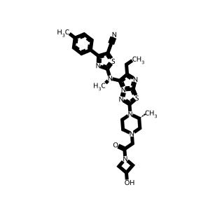 CCc1nc2sc(N3CCN(CC(=O)N4CC(O)C4)C[C@H]3C)nn2c1N(C)c1nc(-c2ccc(C)cc2)c(C#N)s1